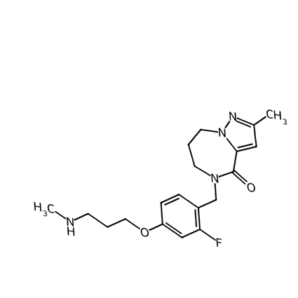 CNCCCOc1ccc(CN2CCCn3nc(C)cc3C2=O)c(F)c1